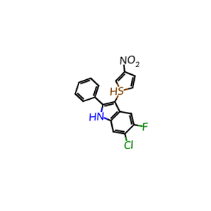 O=[N+]([O-])C1=C[SH](c2c(-c3ccccc3)[nH]c3cc(Cl)c(F)cc23)C=C1